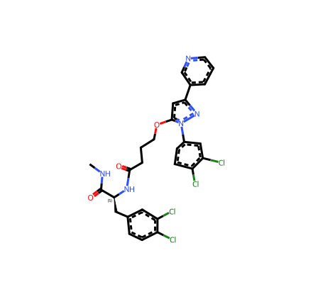 CNC(=O)[C@H](Cc1ccc(Cl)c(Cl)c1)NC(=O)CCCOc1cc(-c2cccnc2)nn1-c1ccc(Cl)c(Cl)c1